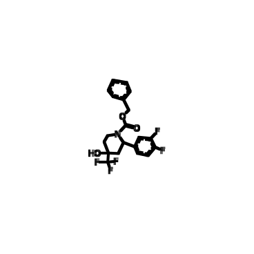 O=C(OCc1ccccc1)N1CCC(O)(C(F)(F)F)CC1c1ccc(F)c(F)c1